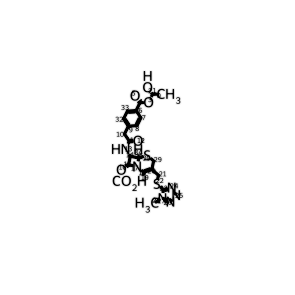 CC(O)OC(=O)c1ccc(CC(=O)NC2C(=O)N3C(C(=O)O)=C(CSc4nnnn4C)CS[C@@H]23)cc1